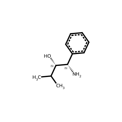 CC(C)[C@H](O)[C@@H](N)c1ccccc1